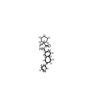 O=C(Nc1cc2cc(-c3cncs3)ccc2cn1)C1(F)CCCCC1